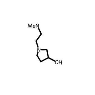 CNCCN1CCC(O)C1